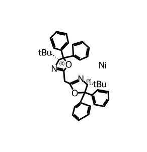 CC(C)(C)[C@H]1N=C(CC2=N[C@H](C(C)(C)C)C(c3ccccc3)(c3ccccc3)O2)OC1(c1ccccc1)c1ccccc1.[Ni]